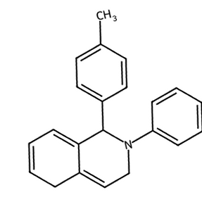 Cc1ccc(C2C3=CC=CCC3=CCN2c2ccccc2)cc1